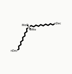 CCCCCCCCCCCCCCCCCCCC[Si](CCCCCCCCCCCCCCCCCCCC)(OC)OC